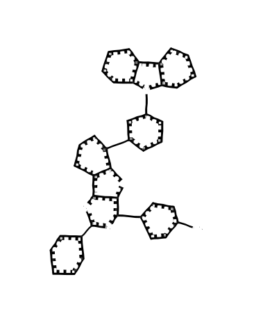 N#Cc1ccc(-c2nc(-c3ccccc3)nc3c2sc2c(-c4cccc(-n5c6ccccc6c6ccccc65)c4)cccc23)cc1